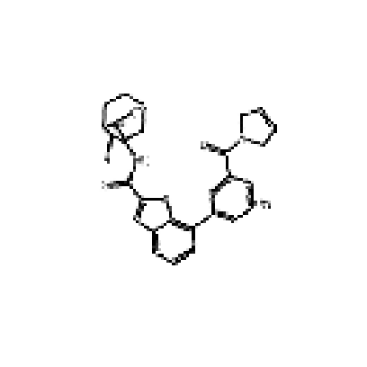 Cl.O=C(N[C@H]1CN2CCC1CC2)c1cc2cccc(-c3cccc(C(=O)N4CC=CC4)c3)c2s1